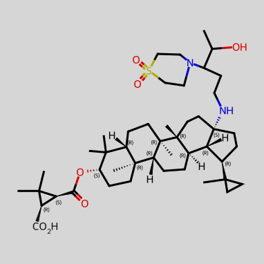 CC(O)C(CCN[C@]12CC[C@@H](C3(C)CC3)[C@@H]1[C@H]1CC[C@@H]3[C@@]4(C)CC[C@H](OC(=O)[C@H]5[C@@H](C(=O)O)C5(C)C)C(C)(C)[C@@H]4CC[C@@]3(C)[C@]1(C)CC2)N1CCS(=O)(=O)CC1